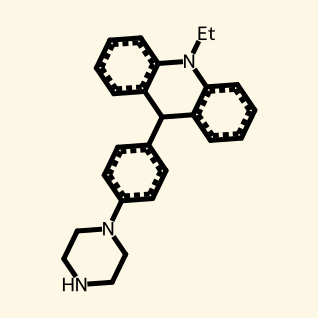 CCN1c2ccccc2C(c2ccc(N3CCNCC3)cc2)c2ccccc21